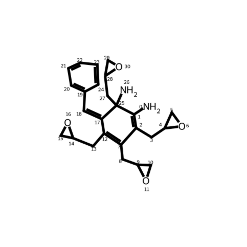 NC1=C(CC2CO2)C(CC2CO2)=C(CC2CO2)C(=Cc2ccccc2)C1(N)CC1CO1